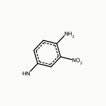 [NH]c1ccc(N)c([N+](=O)[O-])c1